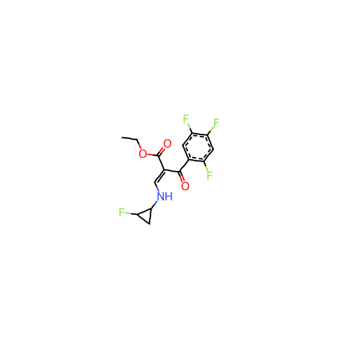 CCOC(=O)/C(=C/NC1CC1F)C(=O)c1cc(F)c(F)cc1F